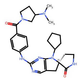 CN(C)C1CCN(C(=O)c2ccc(Nc3ncc4c(n3)N(C3CCCC3)[C@]3(CCNC3=O)C4)cc2)C1